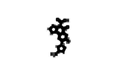 NC1CCN(c2cc3c(cc2F)c(=O)c(C(=O)O)c2n3CCS2)C1